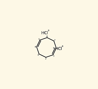 C1=CCCC=CCC1.Cl.Cl